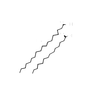 CCCCCCCCCCCCCC(=O)O.CCCCCCCCCCCCCCCCCC(=O)O.[CaH2]